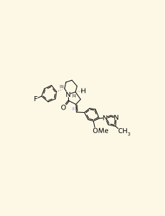 COc1cc(/C=C2\C[C@@H]3CCC[C@@H](c4ccc(F)cc4)N3C2=O)ccc1-n1cnc(C)c1